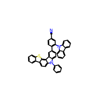 N#Cc1ccc(-c2ccc3c(c2)c2c4sc5ccccc5c4ccc2n3-c2ccccc2)c(-n2c3ccccc3c3ccccc32)c1